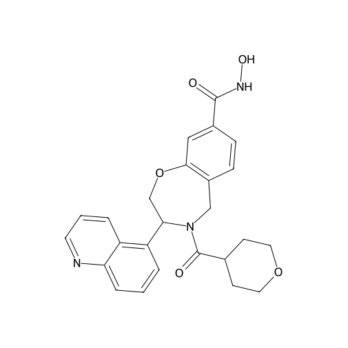 O=C(NO)c1ccc2c(c1)OCC(c1cccc3ncccc13)N(C(=O)C1CCOCC1)C2